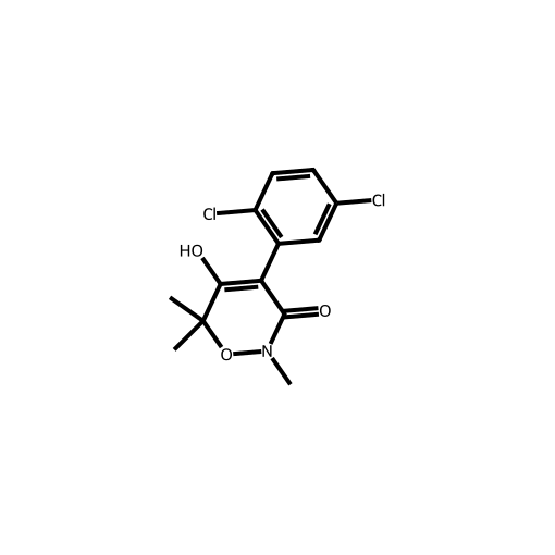 CN1OC(C)(C)C(O)=C(c2cc(Cl)ccc2Cl)C1=O